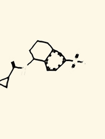 NS(=O)(=O)c1ccc2c(c1)CCCC2NC(=O)C1CC1